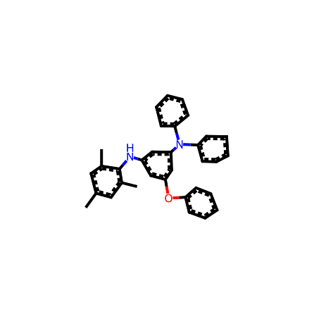 Cc1cc(C)c(Nc2cc(Oc3ccccc3)cc(N(c3ccccc3)c3ccccc3)c2)c(C)c1